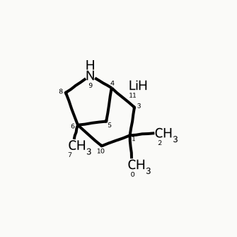 CC1(C)CC2CC(C)(CN2)C1.[LiH]